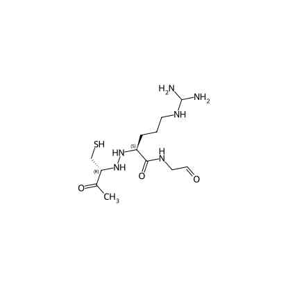 CC(=O)[C@H](CS)NN[C@@H](CCCNC(N)N)C(=O)NCC=O